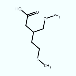 CSCCC(COP)CC(=O)O